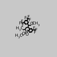 CCOC(=O)N1c2ccc(C(F)(F)F)cc2C(C(COC)c2cc(C(F)(F)F)cc(C(F)(F)F)c2)CC1CC